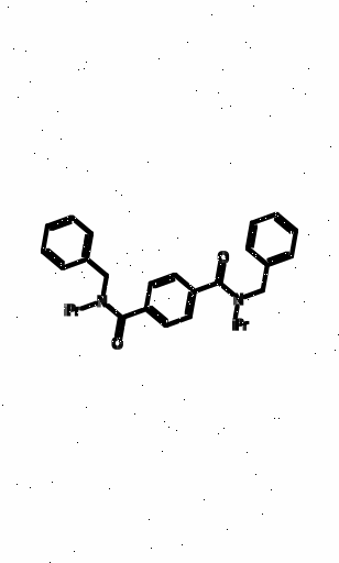 CC(C)N(Cc1ccccc1)C(=O)c1ccc(C(=O)N(Cc2ccccc2)C(C)C)cc1